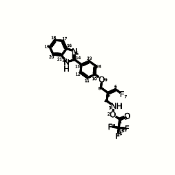 O=C(ONCC(=CF)COc1ccc(-c2nc3ccccc3[nH]2)cc1)C(F)(F)F